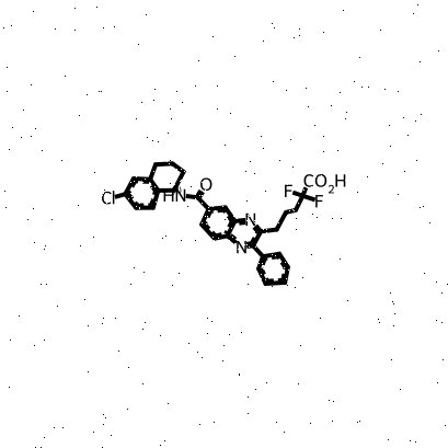 O=C(N[C@@H]1CCCc2cc(Cl)ccc21)c1ccc2nc(-c3ccccc3)c(CCCC(F)(F)C(=O)O)nc2c1